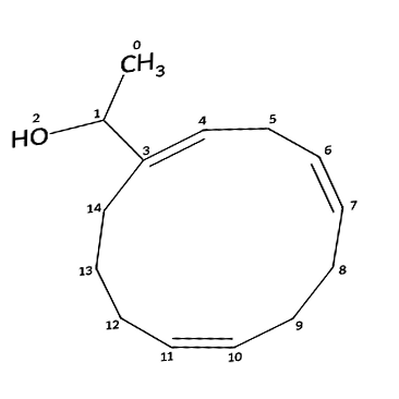 CC(O)C1=CCC=CCCC=CCCC1